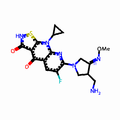 CO/N=C1\CN(c2nc3c(cc2F)c(=O)c2c(=O)[nH]sc2n3C2CC2)CC1CN